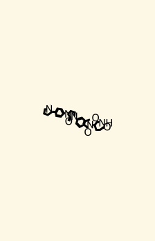 CN1CCCC1c1ccc(N2CCN(c3ccc4c(c3)CN(C3CCC(=O)NC3=O)C4=O)C2=O)cc1